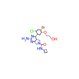 Nc1nc2c(c(-c3cc(OCCCO)c(Br)cc3Cl)n1)CN(C(=O)NC13CC(C1)C3)C2